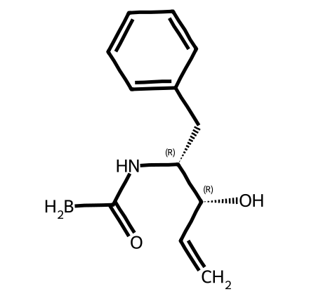 BC(=O)N[C@H](Cc1ccccc1)[C@H](O)C=C